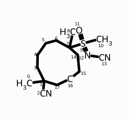 CC1(C#N)CCCCC(C)(S(C)(=O)=NC#N)CCCC1